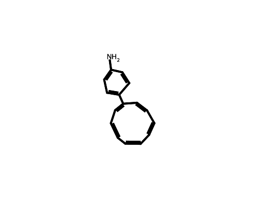 Nc1ccc(-c2ccccccccc2)cc1